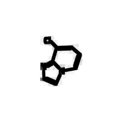 Clc1cccn2c[c]nc12